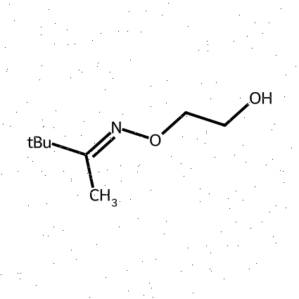 CC(=NOCCO)C(C)(C)C